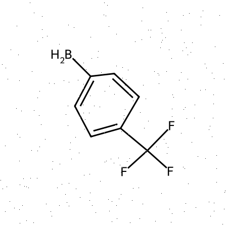 Bc1ccc(C(F)(F)F)cc1